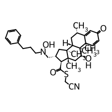 C[C@H]1C[C@@H]2[C@](C)([C@@H](O)C[C@]3(C)[C@@H](C(=O)SCC#N)[C@H](CN(O)CCCc4ccccc4)C[C@@]23C)[C@@]2(C)C=CC(=O)C=C12